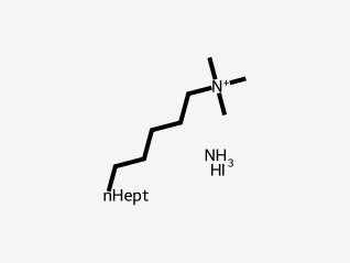 CCCCCCCCCCCC[N+](C)(C)C.I.N